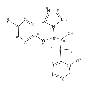 CC(C)(c1ccccc1Cl)C(O)C(Oc1ccc(Cl)cc1)n1cncn1